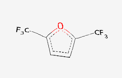 FC(F)(F)c1ccc(C(F)(F)F)o1